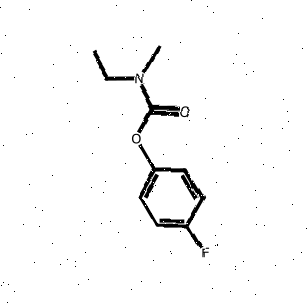 CCN(C)C(=O)Oc1ccc(F)cc1